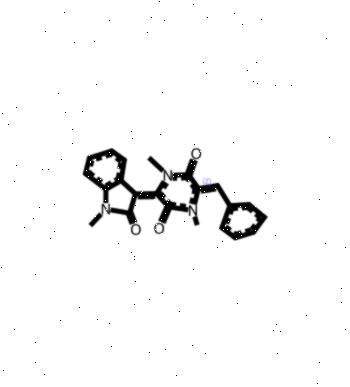 CN1C(=O)C(=c2c(=O)n(C)/c(=C\c3ccccc3)c(=O)n2C)c2ccccc21